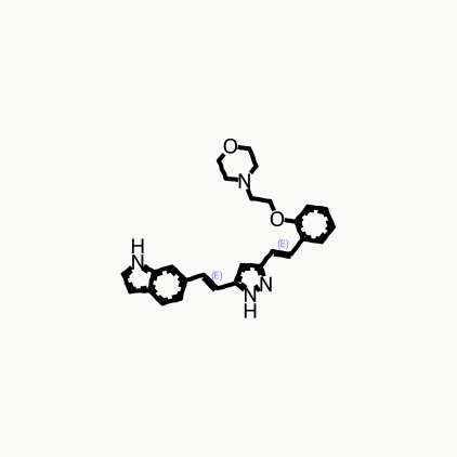 C(=C\c1cc(/C=C/c2ccccc2OCCN2CCOCC2)n[nH]1)/c1ccc2cc[nH]c2c1